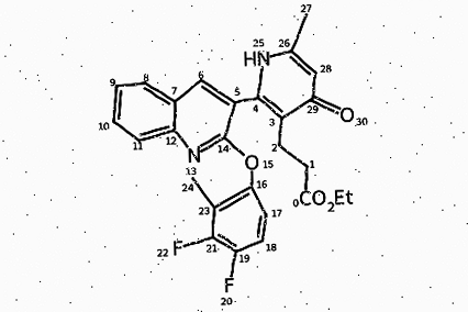 CCOC(=O)CCc1c(-c2cc3ccccc3nc2Oc2ccc(F)c(F)c2C)[nH]c(C)cc1=O